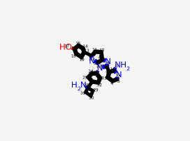 Nc1ncccc1-c1nc2ccc(-c3ccc(O)cc3)nc2n1-c1ccc(C2(N)CCC2)cc1